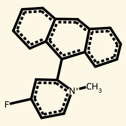 C[n+]1ccc(F)cc1-c1c2ccccc2cc2ccccc12